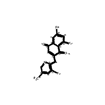 O=C1C=C(Cc2ncc(C(F)(F)F)cc2F)C(=O)c2c(F)cc(F)cc21